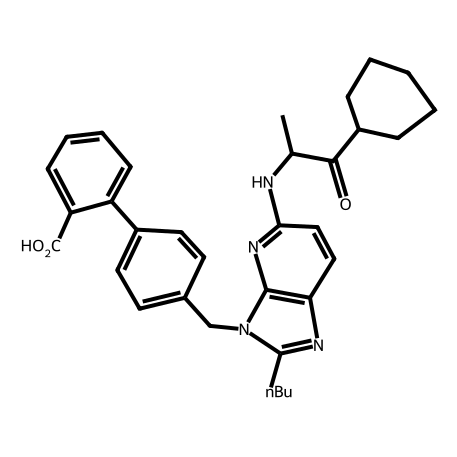 CCCCc1nc2ccc(NC(C)C(=O)C3CCCCC3)nc2n1Cc1ccc(-c2ccccc2C(=O)O)cc1